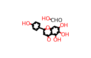 O=CO.O=c1cc(-c2ccc(O)cc2)oc2cc(O)c(O)c(O)c12